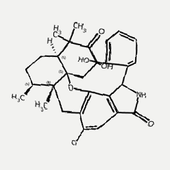 C[C@H]1CC[C@H]2C(C)(C)C(=O)C(O)C[C@]23Oc2c(c(Cl)cc4c2C(c2ccccc2O)NC4=O)C[C@]13C